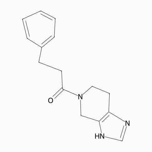 O=C(CCc1ccccc1)N1CCc2nc[nH]c2C1